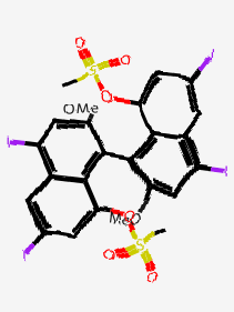 COc1cc(I)c2cc(I)cc(OS(C)(=O)=O)c2c1-c1c(OC)cc(I)c2cc(I)cc(OS(C)(=O)=O)c12